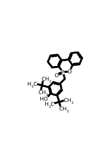 CC(C)(C)c1cc(CP2(=O)Oc3ccccc3C3=C2CCC=C3)cc(C(C)(C)C)c1O